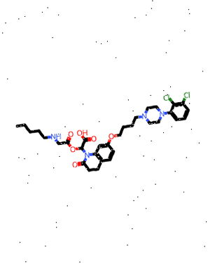 CCCCCNCC(=O)OC(C(=O)O)N1C(=O)CCc2ccc(OCCCCN3CCN(c4cccc(Cl)c4Cl)CC3)cc21